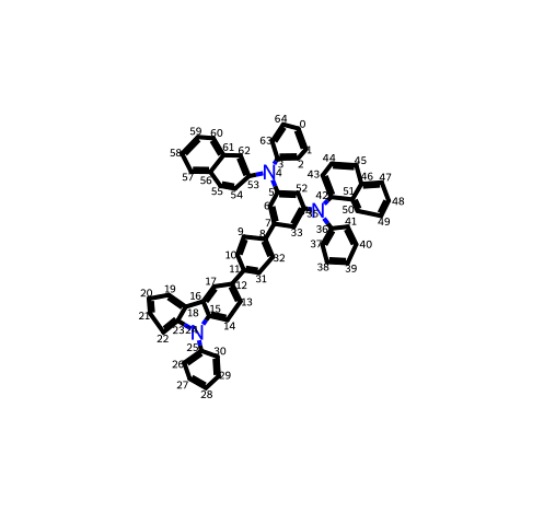 c1ccc(N(c2cc(-c3ccc(-c4ccc5c(c4)c4ccccc4n5-c4ccccc4)cc3)cc(N(c3ccccc3)c3cccc4ccccc34)c2)c2ccc3ccccc3c2)cc1